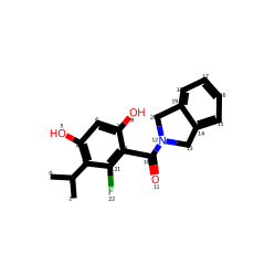 CC(C)c1c(O)cc(O)c(C(=O)N2Cc3ccccc3C2)c1F